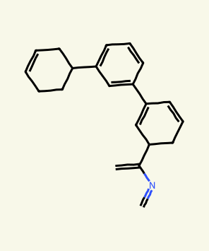 C=NC(=C)C1C=C(c2cccc(C3CC=CCC3)c2)C=CC1